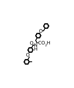 Cc1ccccc1COc1ccc(C(=O)N[C@@H](Cc2ccc(OCc3ccccc3)cc2)C(=O)O)cc1